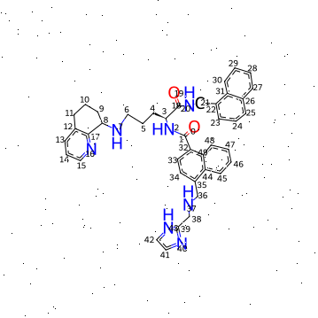 O=C(N[C@@H](CCCNC1CCCc2cccnc21)C(=O)NCc1cccc2ccccc12)c1ccc(CNCc2ncc[nH]2)c2ccccc12